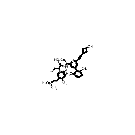 Cc1cccc(C)c1-c1cc(C#CC2CC(O)C2)nc([C@H](CC(=O)O)NC(=O)[C@H](CC(C)C)n2cc(CCN(C)C)c(C(F)(F)F)cc2=O)c1